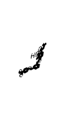 COC(=O)c1ccc(OCc2cccc(COc3ccc(C(=O)CC(C)C)c(O)c3C)c2)cc1